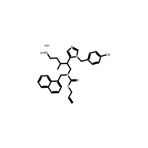 C=CCOC(=O)N(Cc1cccc2ccccc12)CC(c1cncn1Cc1ccc(C#N)cc1)C(C)CCNC(C)=O.Cl